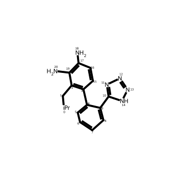 CC(C)Cc1c(-c2ccccc2-c2nnn[nH]2)ccc(N)c1N